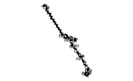 CC(C)(C)OC(=O)CCCCCCCCCCCCCCCCCCC(=O)N1CCC(C(=O)N[C@@H](CCC(=O)NCCOCCOCC(=O)NCCOCCOCC(=O)ON2C(=O)CCC2=O)C(=O)OC(C)(C)C)CC1